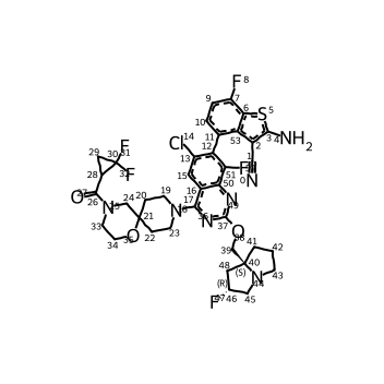 N#Cc1c(N)sc2c(F)ccc(-c3c(Cl)cc4c(N5CCC6(CC5)CN(C(=O)C5CC5(F)F)CCO6)nc(OC[C@@]56CCCN5C[C@H](F)C6)nc4c3F)c12